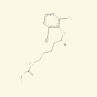 C#Cc1cccc([N+](=O)[O-])c1N[C@@H](C)CCCCNC(=O)OC(C)(C)C